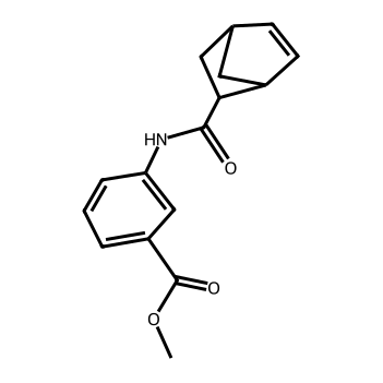 COC(=O)c1cccc(NC(=O)C2CC3C=CC2C3)c1